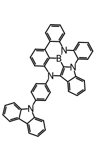 c1ccc2c(c1)-c1cccc3c1B1c4c(c5ccccc5n4-c4ccccc4N12)N3c1ccc(-n2c3ccccc3c3ccccc32)cc1